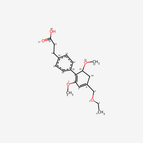 CCOCC1=CC(OC)=C(c2ccc(CCC(=O)O)cc2)C(OC)C1